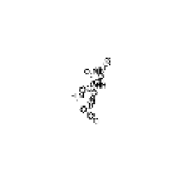 Nc1cccc(Oc2cc(N3CCN(Cc4ccccc4-c4ccc(Cl)cc4)CC3)ccc2C(=O)NS(=O)(=O)c2ccc(NCC3CCOCC3)c([N+](=O)[O-])c2)c1